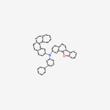 c1ccc(-c2cccc(N(c3ccc4ccc5c6ccccc6oc5c4c3)c3ccc4ccc5ccc6ccccc6c5c4c3)c2)cc1